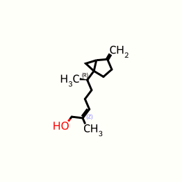 C=C1CCC2([C@H](C)CC/C=C(/C)CO)CC12